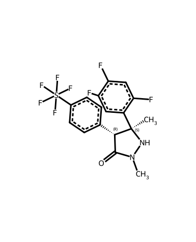 CN1N[C@](C)(c2cc(F)c(F)cc2F)[C@@H](c2ccc(S(F)(F)(F)(F)F)cc2)C1=O